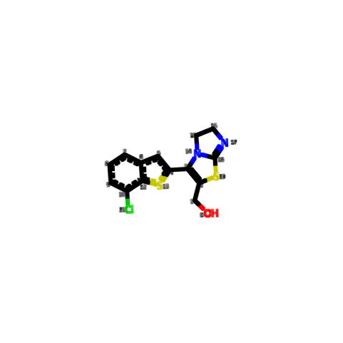 OCC1=C(c2cc3cccc(Cl)c3s2)N2CCN=C2S1